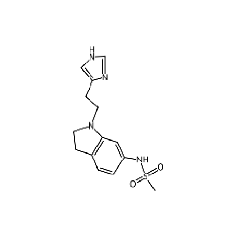 CS(=O)(=O)Nc1ccc2c(c1)N(CCc1c[nH]cn1)CC2